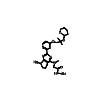 CN(CC(=O)NC(C)(C)C)c1nc(-c2cc(OCC(C)(C)OC3CCCCO3)ccn2)nc2c1CCC2O